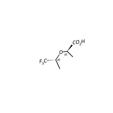 C[C@@H](O[C@H](C)C(F)(F)F)C(=O)O